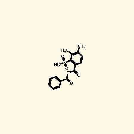 Cc1ccc(C(=O)OC(=O)c2ccccc2)c(S(=O)(=O)O)c1C